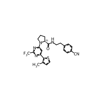 Cc1ccsc1-c1cc(N2CCC[C@H]2C(=O)NCCc2ccc(C#N)cc2)nc(C(F)(F)F)n1